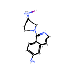 Nc1ccc2c(N3CC[C@@H](NI)C3)nccc2c1